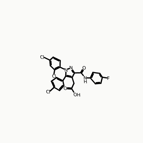 O=C(O)Cc1c(C(=O)Nc2ccc(F)cc2)nn(-c2ccc(Cl)cc2Cl)c1-c1ccc(Cl)cc1